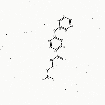 CN(C)CCNC(=O)c1ccc(Oc2ccccc2)cc1